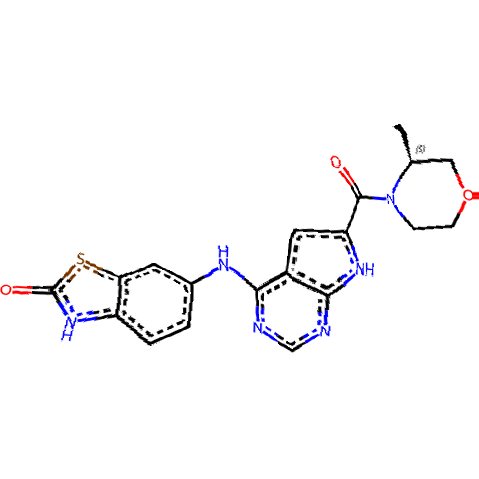 C[C@H]1COCCN1C(=O)c1cc2c(Nc3ccc4[nH]c(=O)sc4c3)ncnc2[nH]1